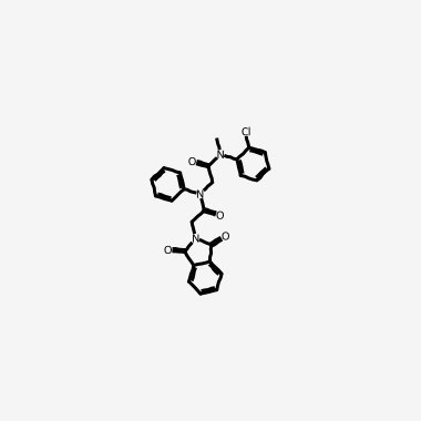 CN(C(=O)CN(C(=O)CN1C(=O)c2ccccc2C1=O)c1ccccc1)c1ccccc1Cl